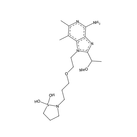 COC(C)c1nc2c(N)nc(C)c(C)c2n1CCOCCCN1CCCS1(O)O